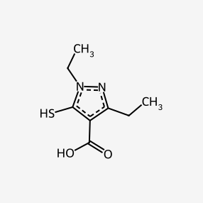 CCc1nn(CC)c(S)c1C(=O)O